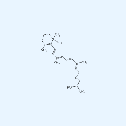 CC(C=CC1=C(C)CCCC1(C)C)=CC=CC(C)=CCOCC(C)O